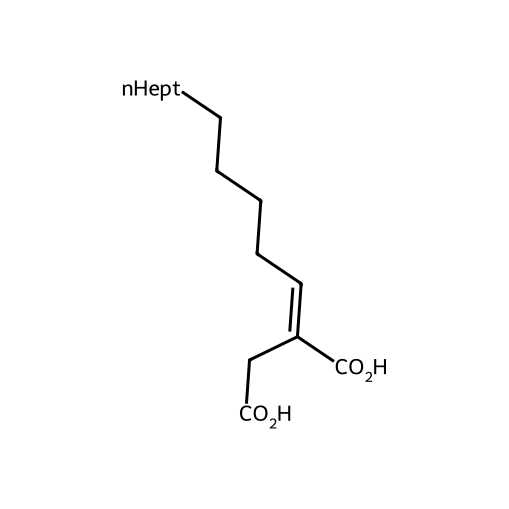 CCCCCCCCCCCC=C(CC(=O)O)C(=O)O